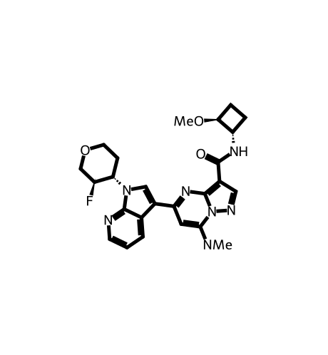 CNc1cc(-c2cn([C@H]3CCOC[C@@H]3F)c3ncccc23)nc2c(C(=O)N[C@H]3CC[C@@H]3OC)cnn12